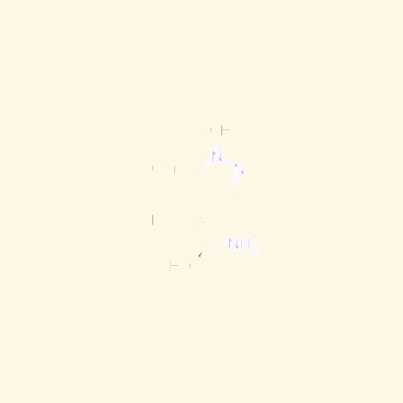 C[C@H](N)[C@H](C)c1cnn(C)c1C(C)(C)C